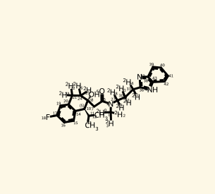 [2H]C([2H])([2H])N(C(=O)C[C@@]1(O)[C@@H](C(C)C)c2ccc(F)cc2C([2H])([2H])C1([2H])[2H])C([2H])([2H])C([2H])([2H])C([2H])([2H])c1nc2ccccc2[nH]1